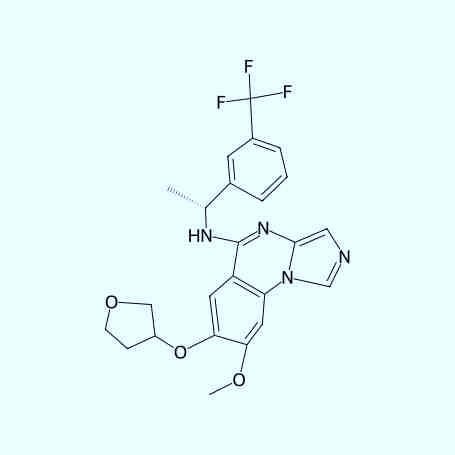 COc1cc2c(cc1OC1CCOC1)c(N[C@H](C)c1cccc(C(F)(F)F)c1)nc1cncn12